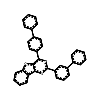 c1ccc(-c2ccc(-c3nc(-c4cccc(-c5ccccc5)c4)nc4c3oc3ccccc34)cc2)cc1